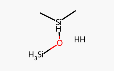 C[SiH](C)O[SiH3].[HH]